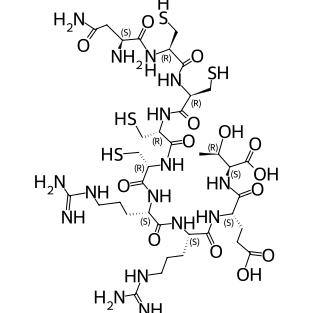 C[C@@H](O)[C@H](NC(=O)[C@H](CCC(=O)O)NC(=O)[C@H](CCCNC(=N)N)NC(=O)[C@H](CCCNC(=N)N)NC(=O)[C@H](CS)NC(=O)[C@H](CS)NC(=O)[C@H](CS)NC(=O)[C@H](CS)NC(=O)[C@@H](N)CC(N)=O)C(=O)O